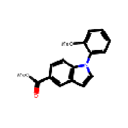 COC(=O)c1ccc2c(ccn2-c2ccccc2OC)c1